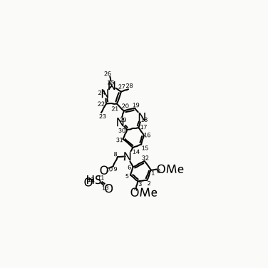 COc1cc(OC)cc(N(CCO[SH](=O)=O)c2ccc3ncc(-c4c(C)nn(C)c4C)nc3c2)c1